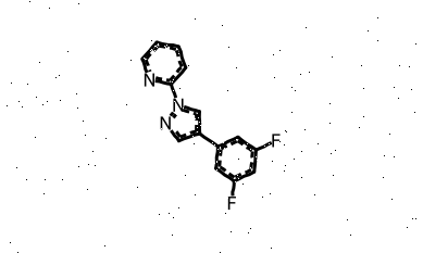 Fc1cc(F)cc(-c2cnn(-c3ccccn3)c2)c1